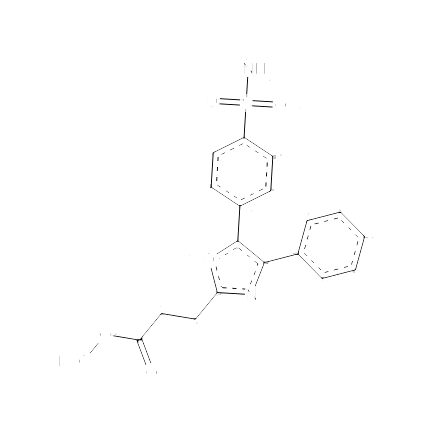 COC(=O)CCc1nc(-c2ccccc2)c(-c2ccc(S(N)(=O)=O)cc2)o1